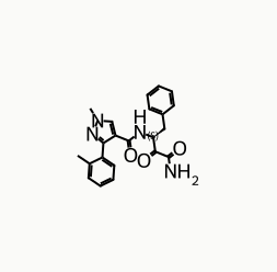 Cc1ccccc1-c1nn(C)cc1C(=O)N[C@@H](Cc1ccccc1)C(=O)C(N)=O